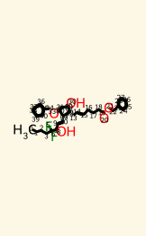 CCCCC(F)(F)C(O)C=C[C@@H]1[C@@H](CC=CCCCC(=O)OCc2ccccc2)[C@@H](O)C[C@H]1OCc1ccccc1